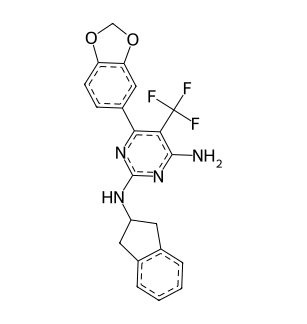 Nc1nc(NC2Cc3ccccc3C2)nc(-c2ccc3c(c2)OCO3)c1C(F)(F)F